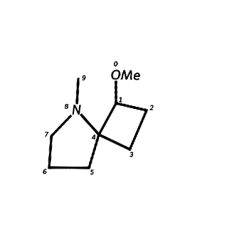 COC1CCC12CCCN2C